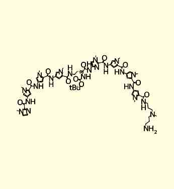 CN(CCCN)CCCNC(=O)c1cc(NC(=O)c2cc(NC(=O)c3cc(NC(=O)c4nc(NC(=O)[C@@H](CCNC(=O)c5cc(NC(=O)c6cc(NC(=O)c7cc(NC(=O)c8nccn8C)cn7C)cn6C)cn5C)NC(=O)OC(C)(C)C)cn4C)cn3C)cn2C)cn1C